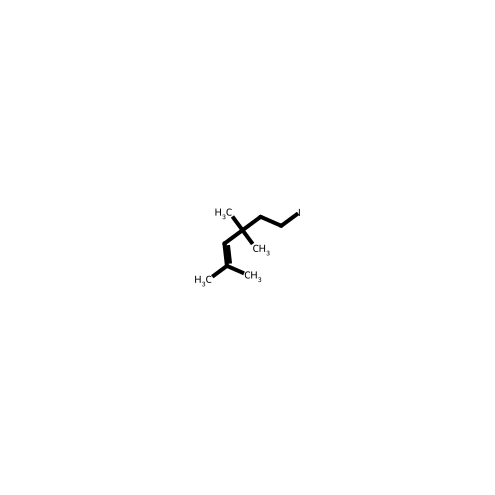 CC(C)=CC(C)(C)CCI